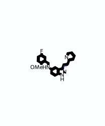 COc1ccc(F)cc1CNc1ccc2[nH]nc(/C=C/c3ccccn3)c2c1